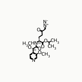 COc1cnccc1[C@H](OC)C(=O)N[C@@H](CCC(=O)C=[N+]=[N-])C(=O)OC(C)C